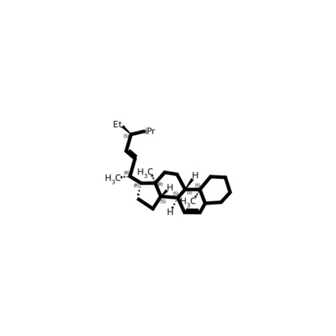 CC[C@H](C=C[C@@H](C)[C@H]1CC[C@H]2[C@@H]3C=CC4CCCC[C@]4(C)[C@H]3CC[C@]12C)C(C)C